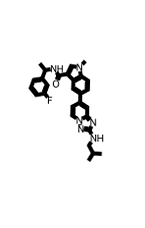 CC(C)CNc1nc2cc(-c3ccc4c(c3)c(C(=O)NC(C)c3cccc(F)c3)cn4C)ccn2n1